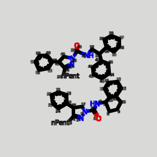 CCCCCC1=NN(C(=O)NC2CCCc3ccccc32)CC1c1ccccc1.CCCCCC1=NN(C(=O)NCC(c2ccccc2)c2ccccc2)CC1c1ccccc1